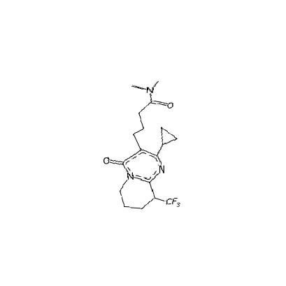 CN(C)C(=O)CCCc1c(C2CC2)nc2n(c1=O)CCCC2C(F)(F)F